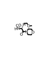 CCOC.O=C(O)NCC(=O)N1CCOCC1